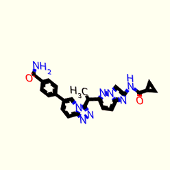 CC(c1ccc2nc(NC(=O)C3CC3)cn2n1)c1nnc2ccc(-c3ccc(C(N)=O)cc3)cn12